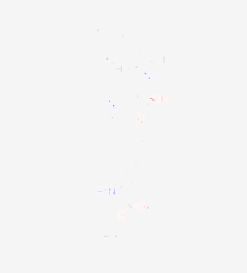 CCOC(=O)[C@H](N)CCCc1ccc(C#N)c(OC[C@H](O)CNC(C)(C)CC2Cc3ccccc3C2)c1